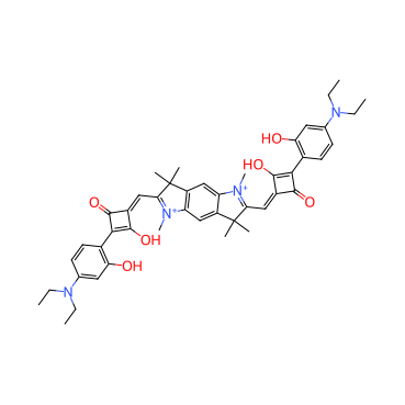 CCN(CC)c1ccc(C2=C(O)C(=CC3=[N+](C)c4cc5c(cc4C3(C)C)[N+](C)=C(C=C3C(=O)C(c4ccc(N(CC)CC)cc4O)=C3O)C5(C)C)C2=O)c(O)c1